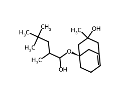 CC(CC(C)(C)C)C(O)O[C@@]12CCC=C(CC(C)(O)C1)C2